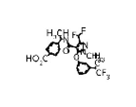 CC(NC(=O)c1c(C(F)F)nn(C)c1Oc1cccc(C(C)C(F)(F)F)c1)c1ccc(C(=O)O)cc1